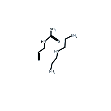 C=CCNC(N)=S.NCCNCCN